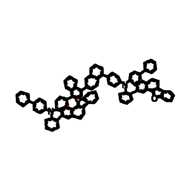 c1ccc(-c2ccc(N(c3ccc(-c4ccc(-c5ccc6c(-c7ccc(N(c8ccc(-c9ccccc9)cc8)c8ccccc8-c8ccc9ccc%10c%11ccccc%11oc%10c9c8)cc7)cccc6c5)c5ccccc45)cc3)c3ccccc3-c3ccc4c(ccc5c6ccccc6oc45)c3)cc2)cc1